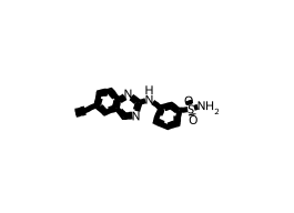 C#Cc1ccc2nc(Nc3cccc(S(N)(=O)=O)c3)ncc2c1